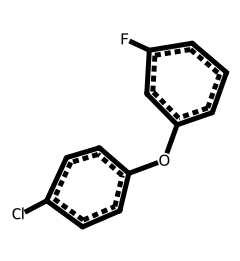 Fc1cccc(Oc2ccc(Cl)cc2)c1